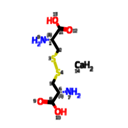 N[C@@H](CSSC[C@H](N)C(=O)O)C(=O)O.[CaH2]